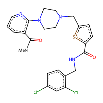 CNC(=O)c1cccnc1N1CCN(Cc2ccc(C(=O)NCc3ccc(Cl)cc3Cl)s2)CC1